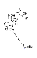 C=CC(=C)CC(O)CC(C)C.CC1=CCCCC1=O.CC1=C[C@@H](O)[C@@H]2C[C@H]1C2(C)C.CCCC/C=C\CCCCCCCCOC=O